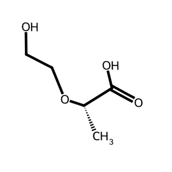 C[C@H](OCCO)C(=O)O